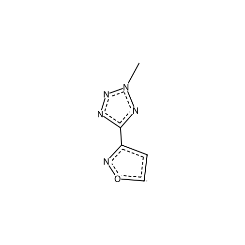 Cn1nnc(-c2c[c]on2)n1